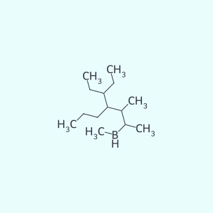 CBC(C)C(C)C(CCC)C(CC)CC